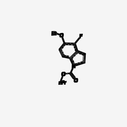 CCCOC(=O)n1ccc2c(F)c(OCC)ccc21